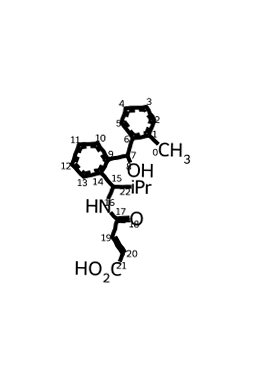 Cc1ccccc1C(O)c1ccccc1C(NC(=O)C=CC(=O)O)C(C)C